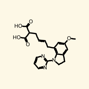 COc1cc(C/C=C/CC(C(=O)O)C(=O)O)c2c(c1)CCN2c1ncccn1